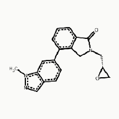 Cn1ncc2ccc(-c3cccc4c3CN(C[C@@H]3CO3)C4=O)cc21